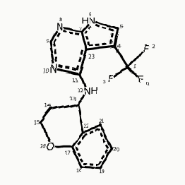 FC(F)(F)c1c[nH]c2ncnc(NC3CCOc4ccccc43)c12